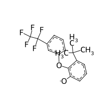 CC(C)(C)c1cccc([O])c1Oc1cccc(C(F)(F)C(F)(F)F)c1